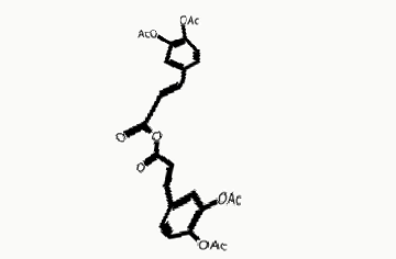 CC(=O)Oc1ccc(C=CC(=O)OC(=O)C=Cc2ccc(OC(C)=O)c(OC(C)=O)c2)cc1OC(C)=O